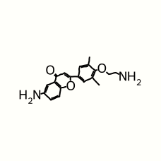 Cc1cc(-c2cc(=O)c3cc(N)ccc3o2)cc(C)c1OCCN